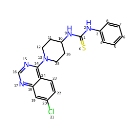 S=C(Nc1ccccc1)NC1CCN(c2ncnc3cc(Cl)ccc23)CC1